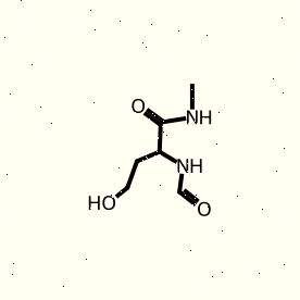 CNC(=O)C(CCO)NC=O